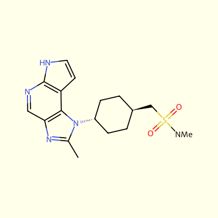 CNS(=O)(=O)C[C@H]1CC[C@H](n2c(C)nc3cnc4[nH]ccc4c32)CC1